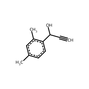 C#CC(O)c1ccc(C)cc1C